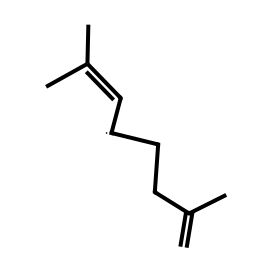 C=C(C)CC[CH]C=C(C)C